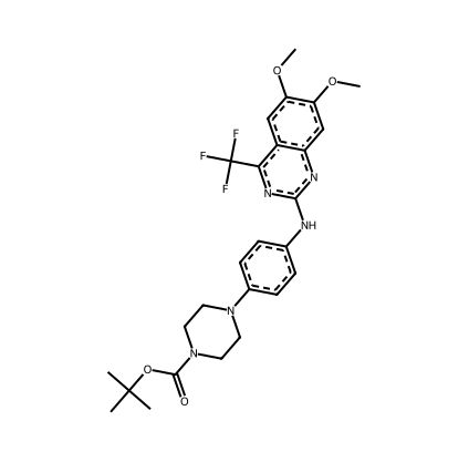 COc1cc2nc(Nc3ccc(N4CCN(C(=O)OC(C)(C)C)CC4)cc3)nc(C(F)(F)F)c2cc1OC